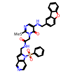 CSc1ncc(NCc2ccc3oc4ccccc4c3c2)c(=O)n1CC(=O)NCc1cc2cnccc2n1S(=O)(=O)c1ccccc1